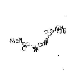 CNCCOc1ccc(CCn2cc(-c3ccc(-c4cn(CCc5ccc(OCCN(C)C)c(Cl)c5)nn4)cc3)nn2)cc1Cl